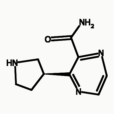 NC(=O)c1nccnc1[C@H]1CCNC1